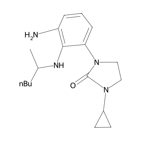 [CH2]CCCC(C)Nc1c(N)cccc1N1CCN(C2CC2)C1=O